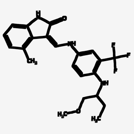 CCC(COC)Nc1ccc(NC=C2C(=O)Nc3cccc(C)c32)cc1C(F)(F)F